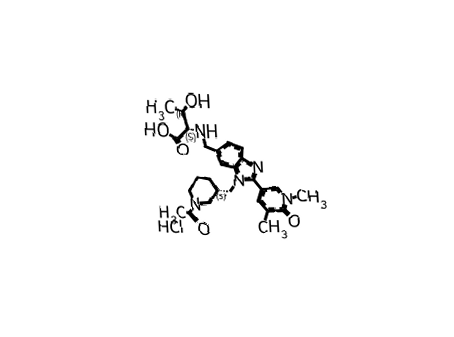 CC(=O)N1CCC[C@H](Cn2c(-c3cc(C)c(=O)n(C)c3)nc3ccc(CN[C@H](C(=O)O)[C@@H](C)O)cc32)C1.Cl